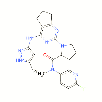 CC(C)c1cc(Nc2nc(N3CCCC3C(=O)N(C)c3ccc(F)nc3)nc3c2CCC3)n[nH]1